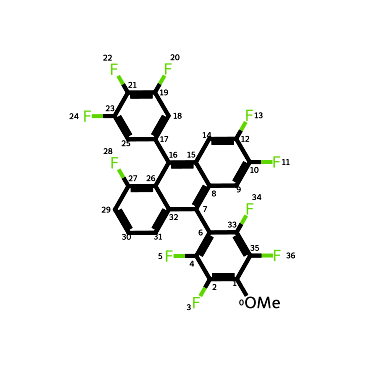 COc1c(F)c(F)c(-c2c3cc(F)c(F)cc3c(-c3cc(F)c(F)c(F)c3)c3c(F)cccc23)c(F)c1F